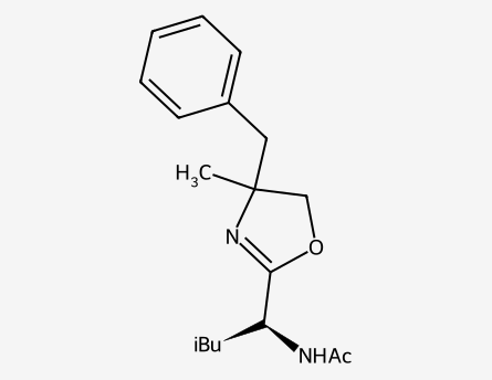 CC[C@H](C)[C@H](NC(C)=O)C1=NC(C)(Cc2ccccc2)CO1